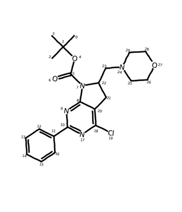 CC(C)(C)OC(=O)N1c2nc(-c3ccccc3)nc(Cl)c2CC1CN1CCOCC1